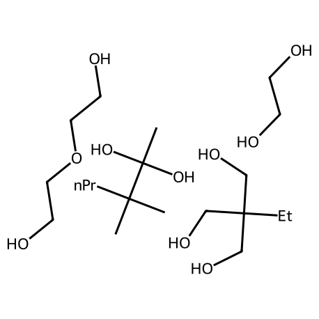 CCC(CO)(CO)CO.CCCC(C)(C)C(C)(O)O.OCCO.OCCOCCO